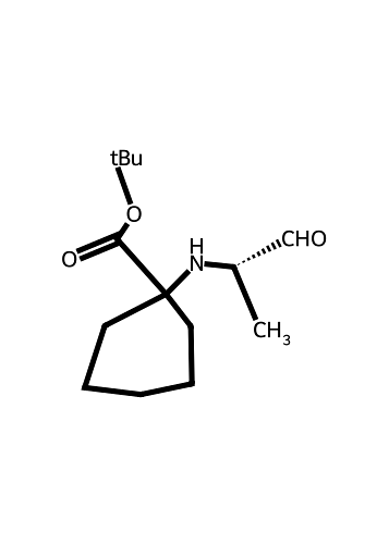 C[C@@H](C=O)NC1(C(=O)OC(C)(C)C)CCCCC1